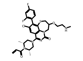 C=CC(=O)N1[C@H](C)CN(c2nc(=O)n3c4c(c(-c5ccc(F)cc5F)c(Cl)cc24)SCC(OCCNC)C3)C[C@@H]1C